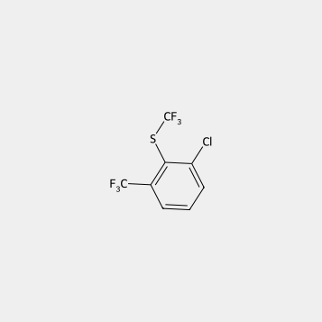 FC(F)(F)Sc1c(Cl)cccc1C(F)(F)F